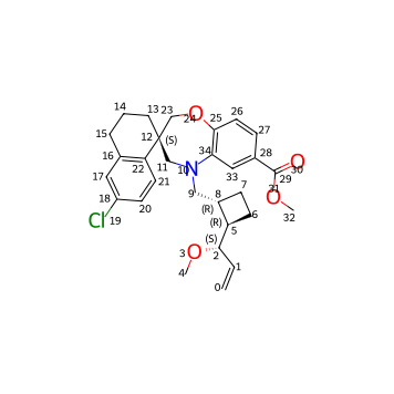 C=C[C@H](OC)[C@@H]1CC[C@H]1CN1C[C@@]2(CCCc3cc(Cl)ccc32)COc2ccc(C(=O)OC)cc21